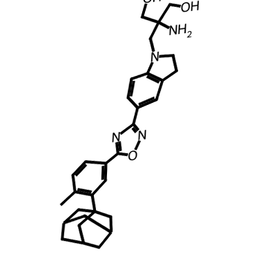 Cc1ccc(-c2nc(-c3ccc4c(c3)CCN4CC(N)(CO)CO)no2)cc1C12CC3CC(CC(C3)C1)C2